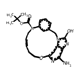 CC(C)(C)OC(=O)N1C/C=C\CCOc2cc3c(nc(O)n3Cc3cccc1c3)c(N)n2